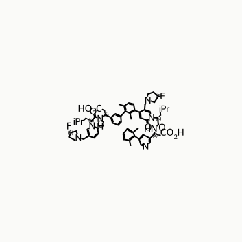 Cc1cccc(C)c1-c1cncc([C@H](CC(=O)O)NC(=O)[C@H](CC(C)C)n2cc(CN3CC[C@@H](F)C3)c(-c3ccc(C)c(-c4cccc([C@H](CC(=O)O)NC(=O)[C@H](CC(C)C)n5cc(CN6CC[C@@H](F)C6)ccc5=O)c4)c3C)cc2=O)c1